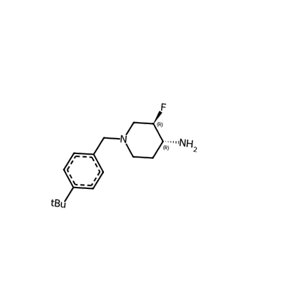 CC(C)(C)c1ccc(CN2CC[C@@H](N)[C@H](F)C2)cc1